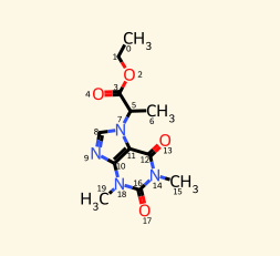 CCOC(=O)C(C)n1cnc2c1c(=O)n(C)c(=O)n2C